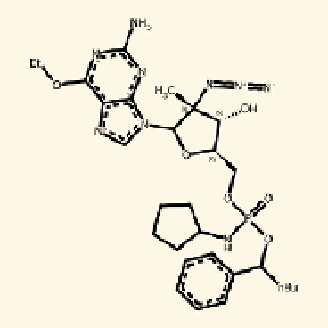 CCCCC(OP(=O)(NC1CCCC1)OC[C@H]1OC(n2cnc3c(OCC)nc(N)nc32)[C@](C)(N=[N+]=[N-])[C@@H]1O)c1ccccc1